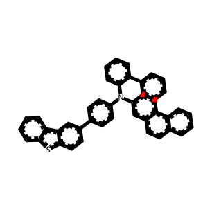 c1ccc(-c2ccccc2N(c2ccc(-c3ccc4sc5ccccc5c4c3)cc2)c2ccc3c(ccc4ccccc43)c2)cc1